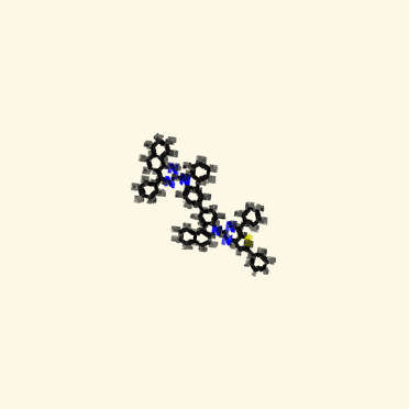 c1ccc(-c2cc3nc(-n4c5ccc(-c6ccc7c(c6)c6ccccc6n7-c6nc(-c7ccccc7)c7ccc8ccccc8c7n6)cc5c5c6ccccc6ccc54)nc(-c4ccccc4)c3s2)cc1